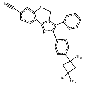 CC1(O)CC(N)(c2ccc(-c3nc4n(c3-c3ccccc3)COc3cc(C#N)ccc3-4)cc2)C1